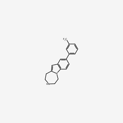 FC(F)(F)c1cccc(-c2ccc3c(c2)cc2n3CCNCC2)c1